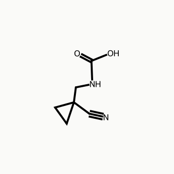 N#CC1(CNC(=O)O)CC1